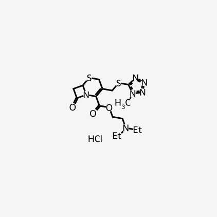 CCN(CC)CCOC(=O)C1=C(CSc2nnnn2C)CSC2CC(=O)N12.Cl